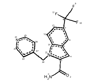 NC(=O)c1cc2cc(C(F)(F)F)ccc2n1Cc1ccncc1